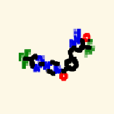 O=C(c1cccc(Cc2cc(C(F)(F)F)c(=O)[nH]n2)c1)N1CCN(c2ncc(C(F)(F)F)cn2)CC1